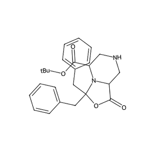 CC(C)(C)OC(=O)C1CNCC2C(=O)OC(Cc3ccccc3)(Cc3ccccc3)N12